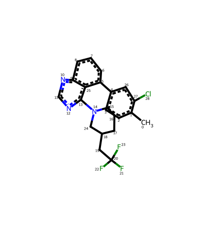 Cc1ccc(-c2cccc3ncnc(N4CCCC(CC(F)(F)F)C4)c23)cc1Cl